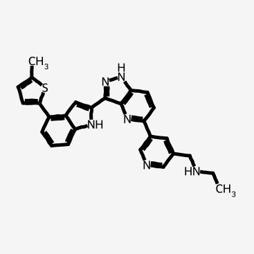 CCNCc1cncc(-c2ccc3[nH]nc(-c4cc5c(-c6ccc(C)s6)cccc5[nH]4)c3n2)c1